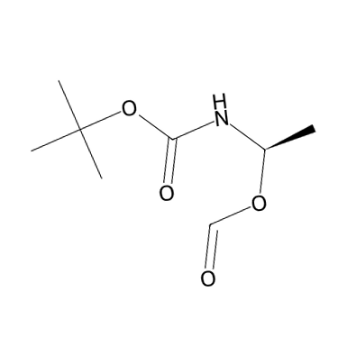 C[C@H](NC(=O)OC(C)(C)C)OC=O